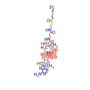 CCC=CCC=CC(=O)SCCNC(=O)CCNC(=O)C(O)C(C)(C)COP(=O)(O)OP(=O)(O)OCC1OC(C)(n2cnc3c(N)ncnc32)C(O)C1OP(=O)(O)O